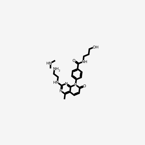 CNC.Cc1nc(NCCN)nc2c1ccc(=O)n2-c1ccc(C(=O)NCCCO)cc1